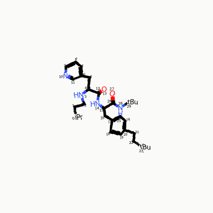 CC(C)CCNC(Cc1cccnc1)C(=O)NC(Cc1ccc(CCC(C)(C)C)cc1)C(=O)NC(C)(C)C